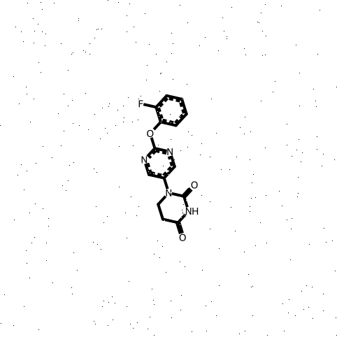 O=C1CCN(c2cnc(Oc3ccccc3F)nc2)C(=O)N1